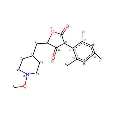 CON1CCC(CC2OC(=O)C(c3c(C)cc(C)cc3C)C2=O)CC1